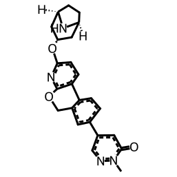 Cn1ncc(-c2ccc3c(c2)COc2nc(O[C@@H]4C[C@H]5CC[C@@H](C4)N5)ccc2-3)cc1=O